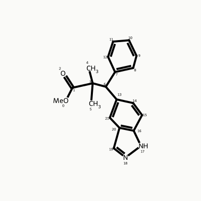 COC(=O)C(C)(C)C(c1ccccc1)c1ccc2[nH]ncc2c1